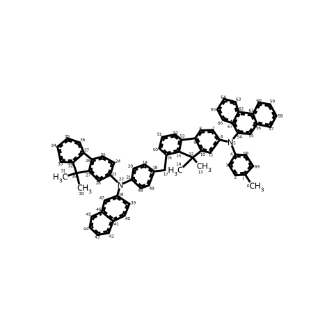 Cc1ccc(N(c2ccc3c(c2)C(C)(C)c2c(Cc4ccc(N(c5ccc6c(c5)C(C)(C)c5ccccc5-6)c5ccc6ccccc6c5)cc4)cccc2-3)c2cc3ccccc3c3ccccc23)cc1